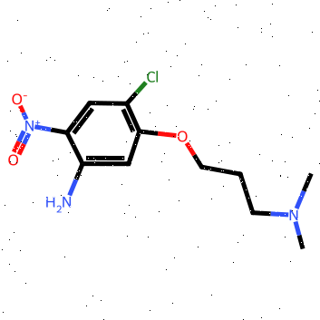 CN(C)CCCOc1cc(N)c([N+](=O)[O-])cc1Cl